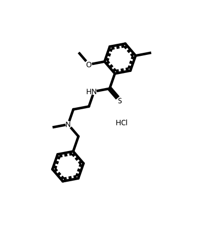 COc1ccc(C)cc1C(=S)NCCN(C)Cc1ccccc1.Cl